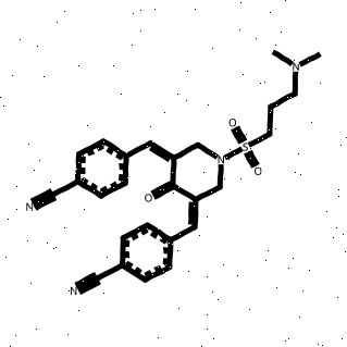 CN(C)CCCS(=O)(=O)N1C/C(=C/c2ccc(C#N)cc2)C(=O)/C(=C\c2ccc(C#N)cc2)C1